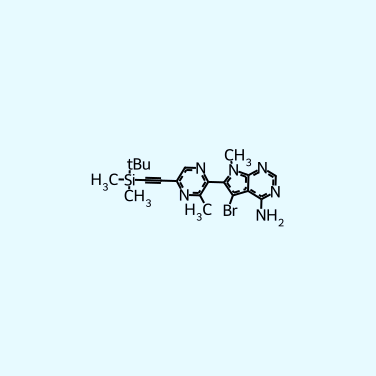 Cc1nc(C#C[Si](C)(C)C(C)(C)C)cnc1-c1c(Br)c2c(N)ncnc2n1C